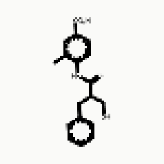 Cc1cc(C(=O)O)ccc1NC(=O)C(CS)Cc1ccccc1